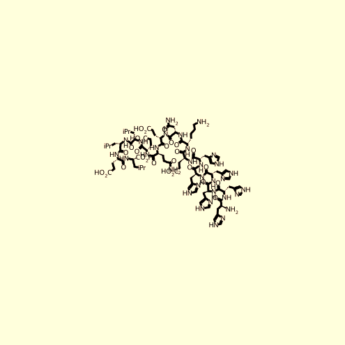 CC(C)C[C@H](NC(=O)[C@H](CCC(=O)O)NC(=O)[C@H](CC(C)C)NC(=O)[C@H](CC(C)C)NC(=O)[C@H](CCC(=O)O)NC(=O)[C@H](CCC(N)=O)NC(=O)[C@H](CCC(=O)O)NC(=O)[C@H](CC(N)=O)NC(=O)[C@H](CCCCN)NC(=O)[C@H](CCC(=O)O)NC(=O)[C@H](Cc1c[nH]cn1)NC(=O)[C@H](Cc1c[nH]cn1)NC(=O)[C@H](Cc1c[nH]cn1)NC(=O)[C@H](Cc1c[nH]cn1)NC(=O)[C@H](Cc1c[nH]cn1)NC(=O)[C@@H](N)Cc1c[nH]cn1)C(=O)O